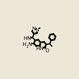 CC(c1ccccc1)c1cc2cc(C(=N)c3cnn(C)c3)c(N)cc2[nH]c1=O